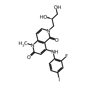 Cn1c(=O)cc(Nc2ccc(I)cc2F)c2c(=O)n(C[C@@H](O)CO)ccc21